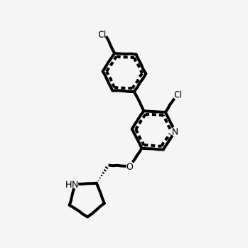 Clc1ccc(-c2cc(OC[C@@H]3CCCN3)cnc2Cl)cc1